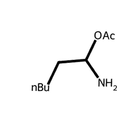 CCCCCC(N)OC(C)=O